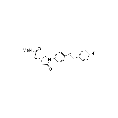 CNC(=O)OC1CC(=O)N(c2ccc(OCc3ccc(F)cc3)cc2)C1